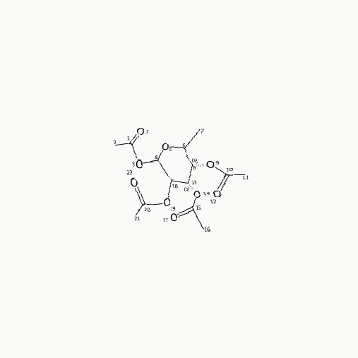 CC(=O)OC1OC(C)[C@H](OC(C)=O)[C@H](OC(C)=O)C1OC(C)=O